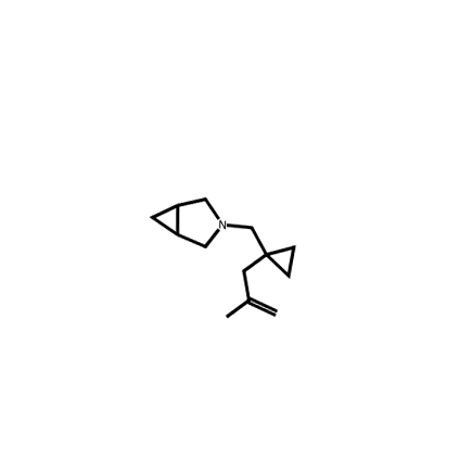 C=C(C)CC1(CN2CC3CC3C2)CC1